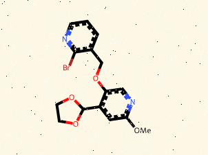 COc1cc(C2OCCO2)c(OCc2cccnc2Br)cn1